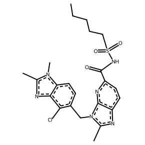 CCCCCS(=O)(=O)NC(=O)c1ccc2nc(C)n(Cc3ccc4c(nc(C)n4C)c3Cl)c2n1